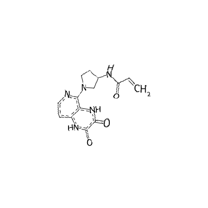 C=CC(=O)NC1CCN(c2nccc3[nH]c(=O)c(=O)[nH]c23)C1